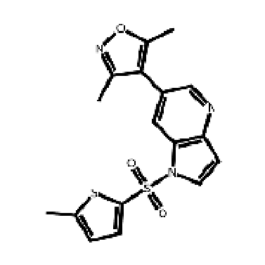 Cc1ccc(S(=O)(=O)n2ccc3ncc(-c4c(C)noc4C)cc32)s1